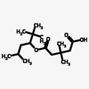 CC(C)CC(OC(=O)CC(C)(C)CC(=O)O)C(C)(C)C